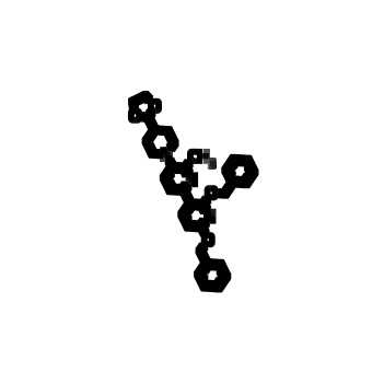 Cc1nc(-c2ccc(OCc3ccccc3)nc2OCc2ccccc2)ccc1N1CCC(C2OCCO2)CC1